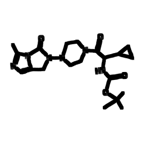 Cc1ncc2n1C(=O)N(N1CCN(C(=O)C(NC(=O)OC(C)(C)C)C3CC3)CC1)C2